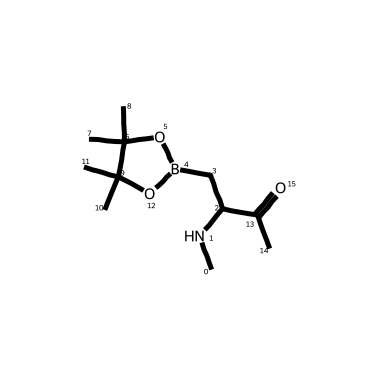 CNC(CB1OC(C)(C)C(C)(C)O1)C(C)=O